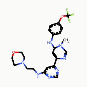 CN1C=NC(c2cc(NCCN3CCOCC3)ncn2)=CC1Nc1ccc(OC(F)(F)F)cc1